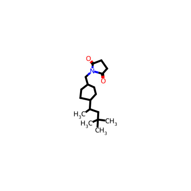 CC(CC(C)(C)C)C1CCC(CN2C(=O)CCC2=O)CC1